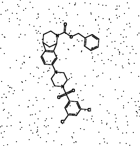 O=C(OCc1ccccc1)N1CCC2CC1c1cc(N3CCN(S(=O)(=O)c4cc(Cl)cc(Cl)c4)CC3)ccc12